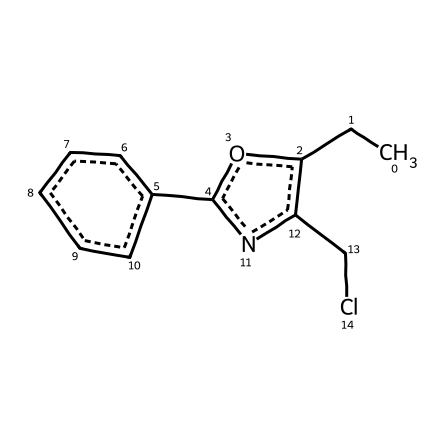 CCc1oc(-c2ccccc2)nc1CCl